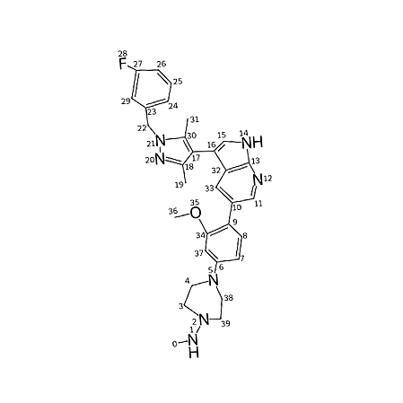 CNN1CCN(c2ccc(-c3cnc4[nH]cc(-c5c(C)nn(Cc6cccc(F)c6)c5C)c4c3)c(OC)c2)CC1